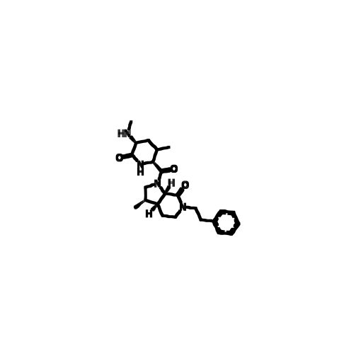 CN[C@H]1CC(C)[C@@H](C(=O)N2C[C@H](C)[C@H]3CCN(CCc4ccccc4)C(=O)[C@H]32)NC1=O